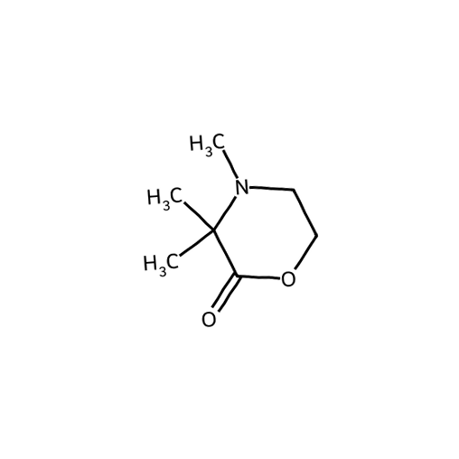 CN1CCOC(=O)C1(C)C